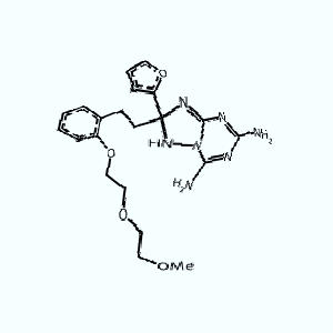 COCCOCCOc1ccccc1CCC1(c2ccco2)N=C2N=C(N)N=C(N)N2N1